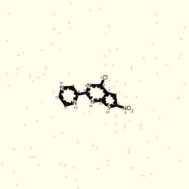 O=[N+]([O-])c1cc2c(Cl)nc(-c3cnccn3)nc2s1